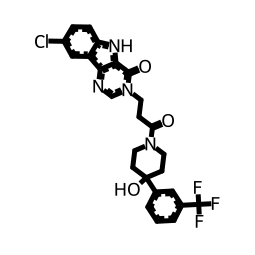 O=C(CCn1cnc2c([nH]c3ccc(Cl)cc32)c1=O)N1CCC(O)(c2cccc(C(F)(F)F)c2)CC1